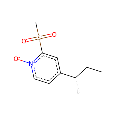 CC[C@H](C)c1cc[n+]([O-])c(S(C)(=O)=O)c1